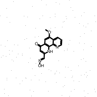 COc1cc2c(=O)cc(C=NO)[nH]c2c2ncccc12